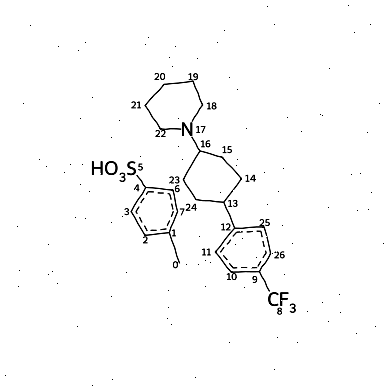 Cc1ccc(S(=O)(=O)O)cc1.FC(F)(F)c1ccc(C2CCC(N3CCCCC3)CC2)cc1